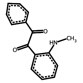 CNc1ccccc1C(=O)C(=O)c1ccccc1